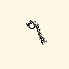 Cc1cc2cc(n1)-c1cnn(C)c1OCCC[C@@H](C)CN1/C(=N/C2=O)Nc2ccc(N3CCN(C4CCN(c5cc(F)c([C@H]6CCC(=O)NC6=O)c(F)c5)CC4)C[C@H]3C)cc21